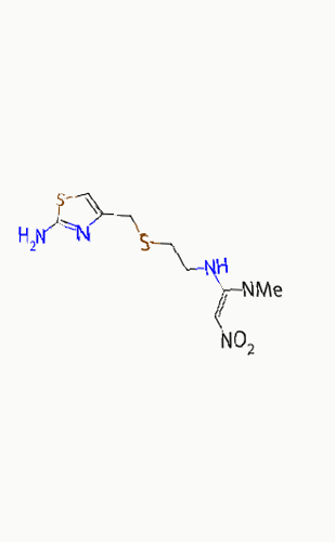 CNC(=C[N+](=O)[O-])NCCSCc1csc(N)n1